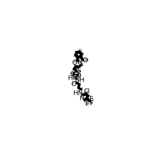 O=C(CCCNc1ncc(C(F)(F)F)cc1Cl)NNS(=O)(=O)c1ccc(CN2C(=O)c3ccccc3C2=O)s1